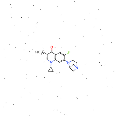 O=C(O)c1cn(C2CC2)c2cc(N3CCN4CC3C4)c(F)cc2c1=O